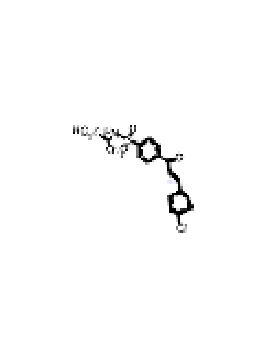 CC(NS(=O)(=O)c1ccc(C(=O)/C=C/c2ccc(Cl)cc2)cc1)C(=O)O